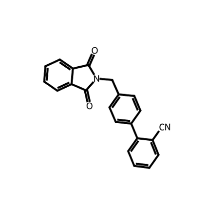 N#Cc1ccccc1-c1ccc(CN2C(=O)c3ccccc3C2=O)cc1